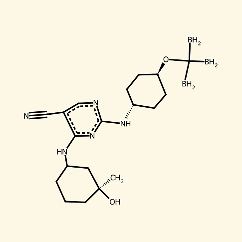 BC(B)(B)O[C@H]1CC[C@H](Nc2ncc(C#N)c(NC3CCC[C@](C)(O)C3)n2)CC1